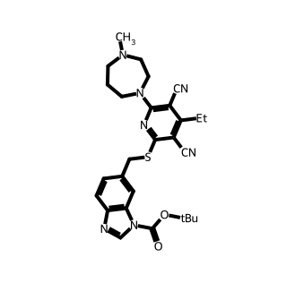 CCc1c(C#N)c(SCc2ccc3ncn(C(=O)OC(C)(C)C)c3c2)nc(N2CCCN(C)CC2)c1C#N